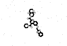 O=C(c1cc(C(=O)N2CCCCC2)c2cc(OCc3nc4ccccc4s3)ccc2n1)N1CC[C@H]2OCCC[C@@H]2C1